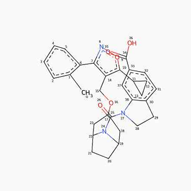 Cc1ccccc1-c1noc(C2CC2)c1COC1CC2CCC(C1)N2C(=O)N1CCc2ccc(C(=O)O)cc21